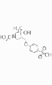 CC1(O)CN(C(=O)O)CC1COc1ccc(S(C)(=O)=O)cc1